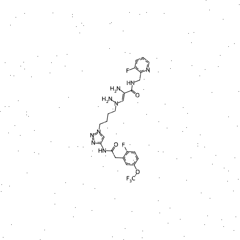 N/C(=C\N(N)CCCCn1cc(NC(=O)Cc2cc(OC(F)(F)F)ccc2F)nn1)C(=O)NCc1ncccc1F